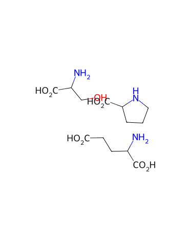 NC(CCC(=O)O)C(=O)O.NC(CO)C(=O)O.O=C(O)C1CCCN1